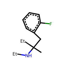 CCNC(C)(CC)Cc1ccccc1F